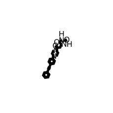 O=C1NC(=O)C(CC(=O)N2CCN(c3ccc(C#Cc4ccccc4)cc3)CC2)N1